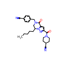 CCCCCC1CN(Cc2ccc(C#N)cc2)C(=O)c2cc(C(=O)N3CCC(C#N)CC3)nn21